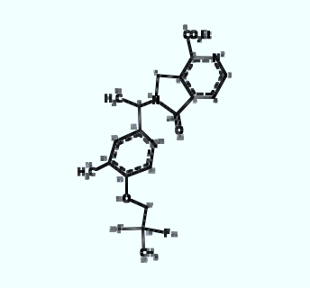 CCOC(=O)c1nccc2c1CN(C(C)c1cc(C)c(OCC(C)(F)F)cn1)C2=O